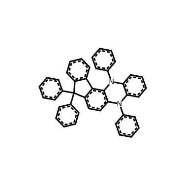 c1ccc(N2c3ccccc3N(c3ccccc3)c3c2ccc2c3-c3ccccc3C2(c2ccccc2)c2ccccc2)cc1